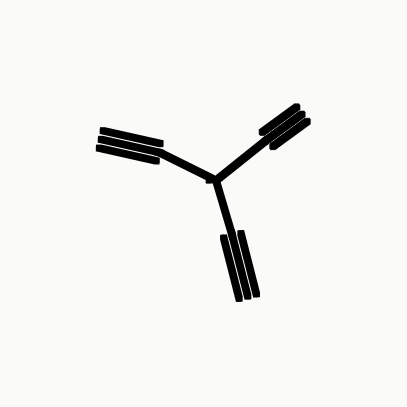 C#C[C](C#C)C#C